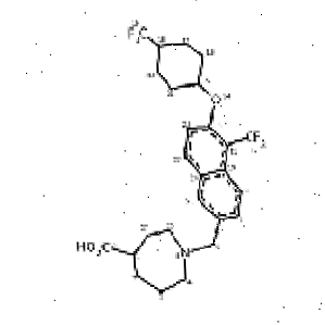 O=C(O)C1CCCN(Cc2ccc3c(C(F)(F)F)c(OC4CCC(C(F)(F)F)CC4)ccc3c2)CC1